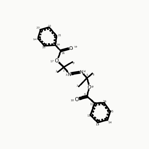 CC(C)(N=NC(C)(C)OC(=O)c1ccccc1)OC(=O)c1ccccc1